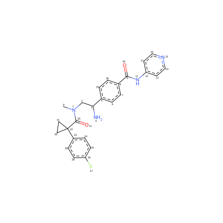 CN(CC(N)c1ccc(C(=O)Nc2ccncc2)cc1)C(=O)C1(c2ccc(F)cc2)CC1